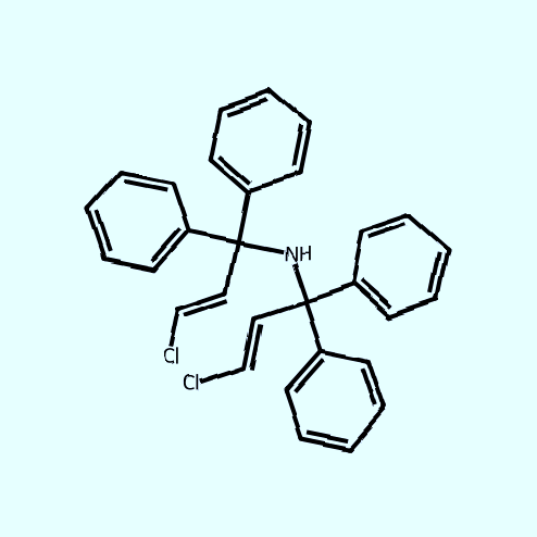 Cl/C=C/C(NC(/C=C/Cl)(c1ccccc1)c1ccccc1)(c1ccccc1)c1ccccc1